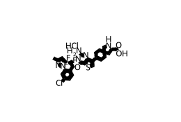 Cc1ccn(-c2cc(Cl)ccc2[C@@H](Oc2nc(N)nc3c(C4=CCC5(CC4)CNC(C(=O)O)C5)csc23)C(F)(F)F)n1.Cl